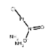 N.N.O=[N+]([O-])[Pt][Cl]